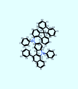 c1ccc(-c2cc3ccccc3c3c2c2cc(N(c4ccccc4)c4cccc5c4-c4ccccc4C54c5ccccc5-c5ccccc54)ccc2n3-c2ccccc2)cc1